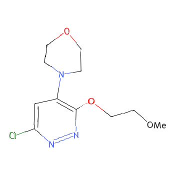 COCCOc1nnc(Cl)cc1N1CCOCC1